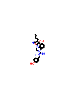 CCCCC(C#N)[C@](O)(C(=O)N1CCN(C(=N)NCc2ccc(O)cc2)CC1)c1ccccc1